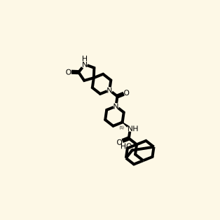 O=C1CC2(CCN(C(=O)N3CCC[C@H](NC(=O)C45CC6CC(C4)C(O)C(C6)C5)C3)CC2)CN1